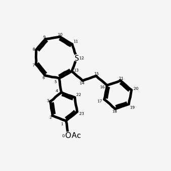 CC(=O)Oc1ccc(-c2ccccccsc2CCc2ccccc2)cc1